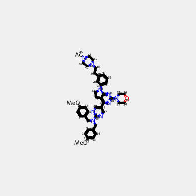 COc1ccc(CN(Cc2ccc(OC)cc2)c2ncc(-c3nc(N4CCOCC4)nc4c3CCN4c3cccc(CCN4CCN(C(C)=O)CC4)c3)cn2)cc1